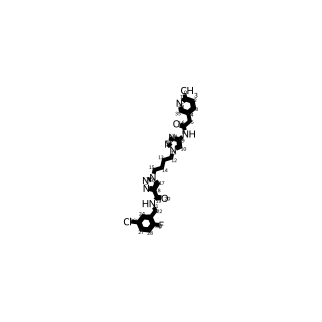 Cc1ccc(CC(=O)Nc2cn(CCCCn3cc(C(=O)NCc4cc(Cl)ccc4F)nn3)nn2)cn1